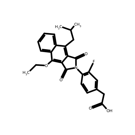 CCOc1c2c(c(CC(C)C)c3ccccc13)C(=O)N(c1ccc(CC(=O)O)cc1F)C2=O